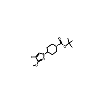 COc1nn(C2CCN(C(=O)OC(C)(C)C)CC2)cc1I